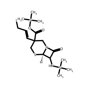 C[Si](C)(C)NC1C(=O)N2CC(C=CCI)(C(=O)O[Si](C)(C)C)CS[C@H]12